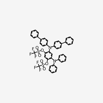 O=S(=O)(Oc1cc(OS(=O)(=O)C(F)(F)F)c(N(c2ccc(-c3ccccc3)cc2)c2ccc(-c3ccccc3)cc2)cc1N(c1ccccc1)c1ccccc1)C(F)(F)F